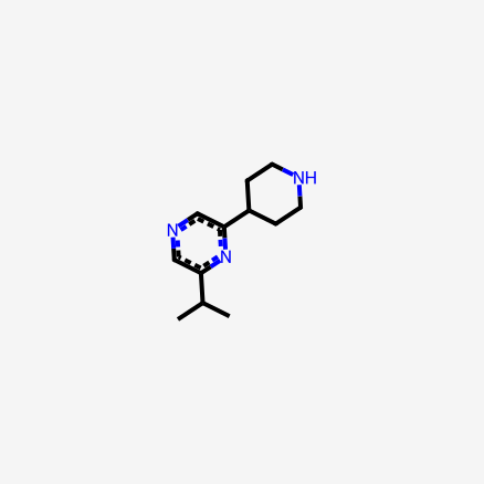 CC(C)c1cncc(C2CCNCC2)n1